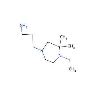 CCN1CCN(CCCN)CC1(C)C